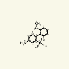 COc1ccccc1-c1ncc(N)cc1C(F)(F)F